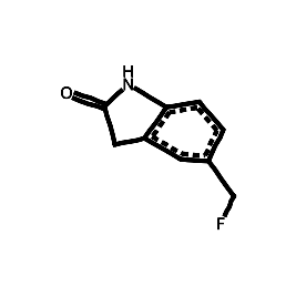 O=C1Cc2cc(CF)ccc2N1